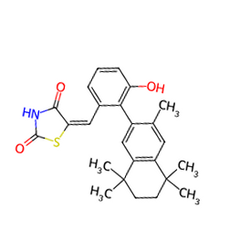 Cc1cc2c(cc1-c1c(O)cccc1C=C1SC(=O)NC1=O)C(C)(C)CCC2(C)C